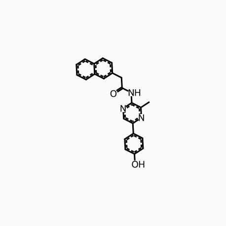 Cc1nc(-c2ccc(O)cc2)cnc1NC(=O)Cc1ccc2ccccc2c1